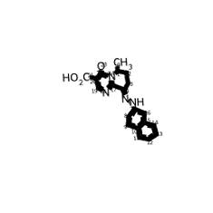 CC1CCC(=NNc2ccc3ccccc3c2)c2ncc(C(=O)O)c(=O)n21